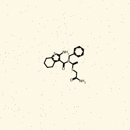 C=C(SCC(N)=O)N(Cc1ccccc1)C(=O)c1c(N)sc2c1CCCC2